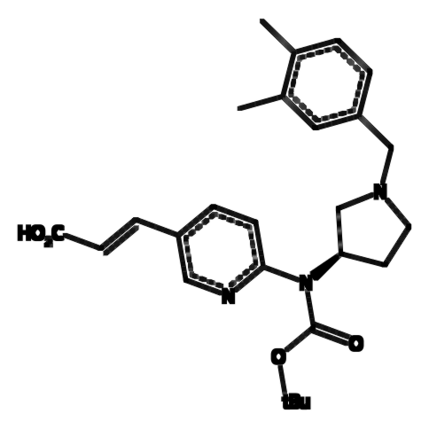 Cc1ccc(CN2CC[C@@H](N(C(=O)OC(C)(C)C)c3ccc(/C=C/C(=O)O)cn3)C2)cc1C